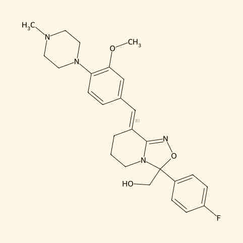 COc1cc(/C=C2\CCCN3C2=NOC3(CO)c2ccc(F)cc2)ccc1N1CCN(C)CC1